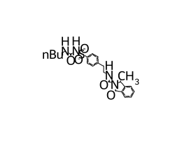 CCCCNC(=O)NS(=O)(=O)c1ccc(CCNC(=O)N2C(=O)c3ccccc3C2C)cc1